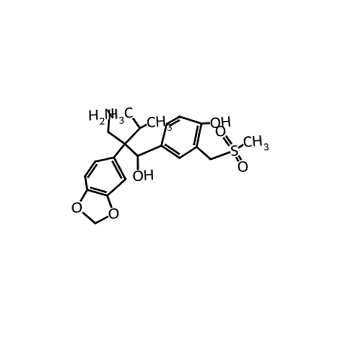 CC(C)C(CN)(c1ccc2c(c1)OCO2)C(O)c1ccc(O)c(CS(C)(=O)=O)c1